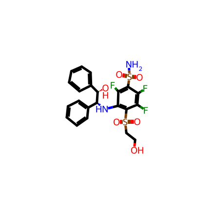 NS(=O)(=O)c1c(F)c(F)c(S(=O)(=O)CCO)c(N[C@@H](c2ccccc2)[C@@H](O)c2ccccc2)c1F